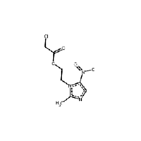 Cc1ncc([N+](=O)[O-])n1CCOC(=O)CCl